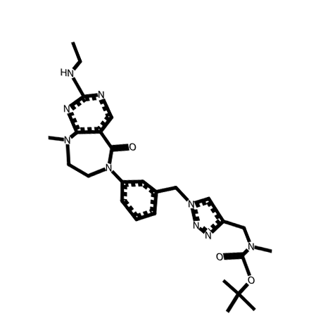 CCNc1ncc2c(n1)N(C)CCN(c1cccc(Cn3cc(CN(C)C(=O)OC(C)(C)C)nn3)c1)C2=O